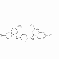 Nc1cc(N[C@H]2CC[C@@H](Nc3cc(N)nc4cc(Cl)ccc34)CC2)c2ccc(Cl)cc2n1